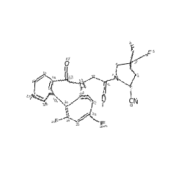 N#CC1CC(F)(F)CN1C(=O)CNC(=O)c1ccncc1-c1ccc(F)cc1F